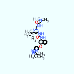 CN(C)CC(=O)NCc1nc(NC(=O)N[C@H]2CC[C@@H](Oc3ccc4nnc(C(C)(C)C)n4c3)c3ccccc32)cc(C(C)(C)C)n1